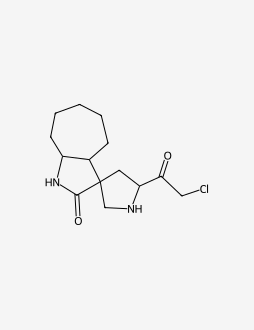 O=C(CCl)C1CC2(CN1)C(=O)NC1CCCCCC12